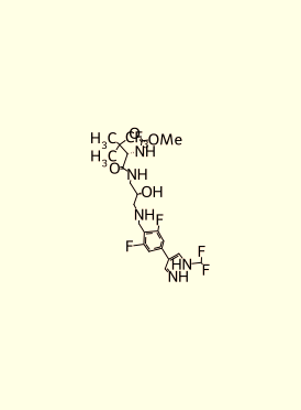 COC(=O)N[C@H](C(=O)NC[C@@H](O)CNCc1c(F)cc(/C(C=N)=C/NC(F)F)cc1F)C(C)(C)C(F)(F)F